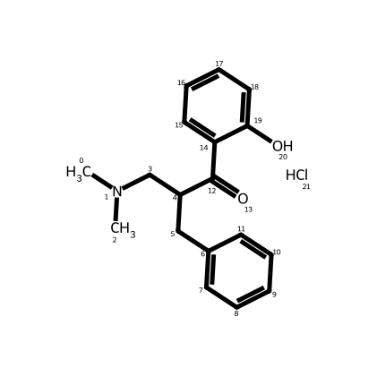 CN(C)CC(Cc1ccccc1)C(=O)c1ccccc1O.Cl